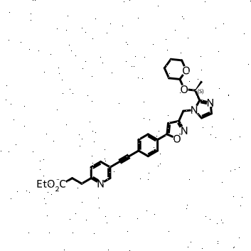 CCOC(=O)CCc1ccc(C#Cc2ccc(-c3cc(Cn4ccnc4[C@H](C)OC4CCCCO4)no3)cc2)cn1